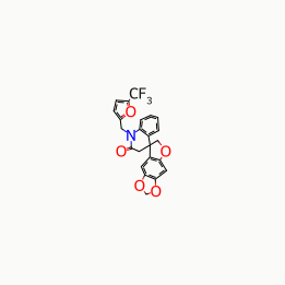 O=C1CC2(COc3cc4c(cc32)OCO4)c2ccccc2N1Cc1ccc(C(F)(F)F)o1